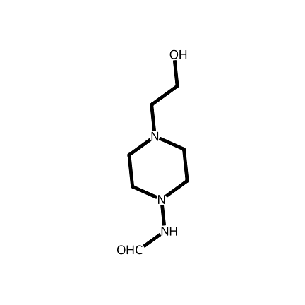 O=CNN1CCN(CCO)CC1